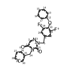 O=c1cnn(Cc2cc(F)c(Oc3ccccc3)c(F)c2)c(=O)n1Cc1ccccc1